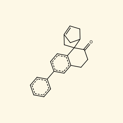 O=C1CCc2cc(-c3ccccc3)ccc2C12CC1=CCC2C1